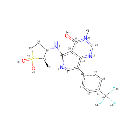 C[C@@H]1[C@@H](Nc2ncc(-c3ccc(C(F)(F)F)cc3)c3ncn(C)c(=O)c23)CCS1(=O)=O